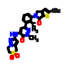 Cc1c(-c2cc(Nc3cc4n(n3)CCS(=O)(=O)C4)c(=O)n(C)n2)cccc1N1Cc2cc(C(C)(C)C)sc2C1=O